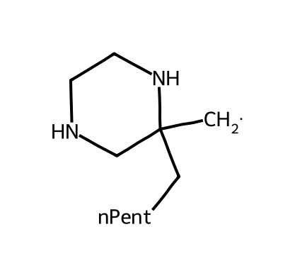 [CH2]C1(CCCCCC)CNCCN1